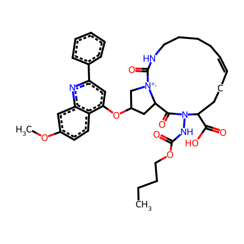 CCCCOC(=O)NN1C(=O)C2CC(Oc3cc(-c4ccccc4)nc4cc(OC)ccc34)C[N+]2C(=O)NCCCCC=CCCC1C(=O)O